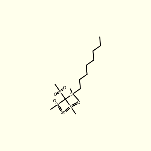 CCCCCCCC[Si](C)(C)C(S(C)(=O)=O)(S(C)(=O)=O)S(C)(=O)=O